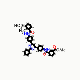 COC(=O)c1cccc(C(=O)Nc2ccc(-c3cc(-c4ccc(NC(=O)c5cccc(C(=O)O)c5C)cc4)nc(-c4ccccc4)n3)cc2)c1